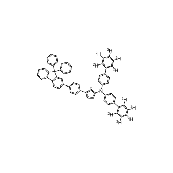 [2H]c1c([2H])c([2H])c(-c2ccc(N(c3ccc(-c4c([2H])c([2H])c([2H])c([2H])c4[2H])cc3)c3ccc(-c4ccc(-c5ccc6c(c5)C(c5ccccc5)(c5ccccc5)c5ccccc5-6)cc4)s3)cc2)c([2H])c1[2H]